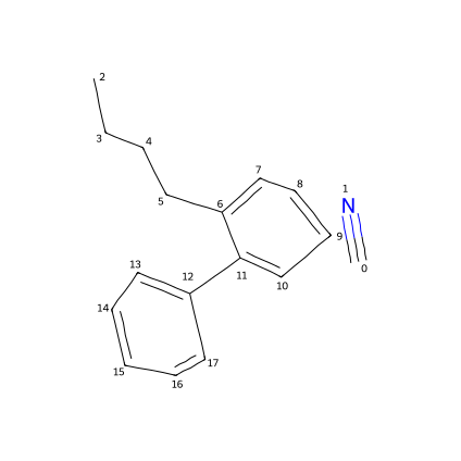 C#N.CCCCc1ccccc1-c1ccccc1